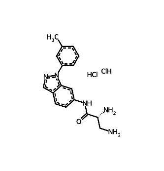 Cc1cccc(-n2ncc3ccc(NC(=O)[C@H](N)CN)cc32)c1.Cl.Cl